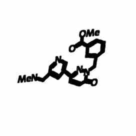 CNCc1cncc(-c2ccc(=O)n(Cc3cccc(C(=O)OC)c3)n2)c1